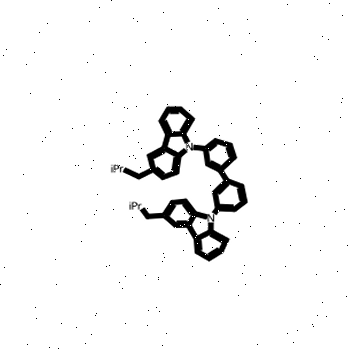 CC(C)Cc1ccc2c(c1)c1ccccc1n2-c1cccc(-c2cccc(-n3c4ccccc4c4cc(CC(C)C)ccc43)c2)c1